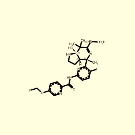 CC1(C)C(NC(=O)O)=N[C@](C)(c2nc(NC(=O)c3ccc(OCF)cn3)ccc2F)[C@@H]2CCN[S@@]21O